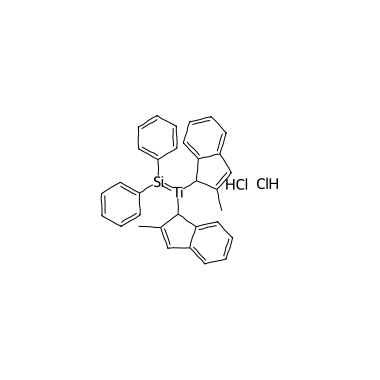 CC1=Cc2ccccc2[CH]1[Ti]([CH]1C(C)=Cc2ccccc21)=[Si](c1ccccc1)c1ccccc1.Cl.Cl